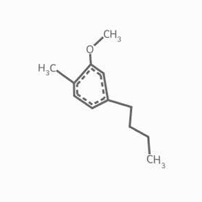 CCCCc1ccc(C)c(OC)c1